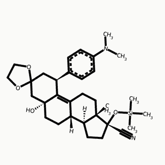 CN(C)c1ccc([C@@H]2CC3(C[C@]4(O)CC[C@@H]5C(=C24)CC[C@@]2(C)[C@H]5CC[C@@]2(C#N)O[Si](C)(C)C)OCCO3)cc1